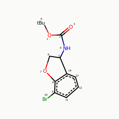 CC(C)(C)OC(=O)NC1COc2c(Br)cccc21